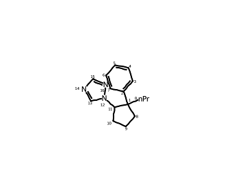 CCCC1(c2ccccc2)CCCC1n1cncn1